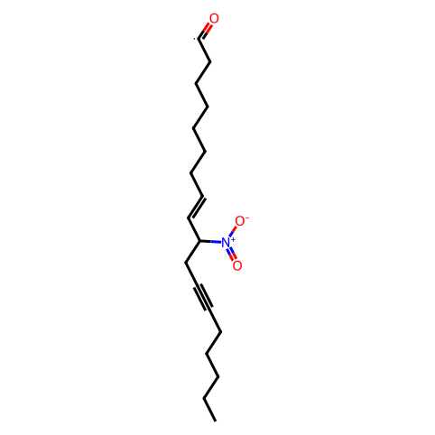 CCCCCC#CCC(C=CCCCCCC[C]=O)[N+](=O)[O-]